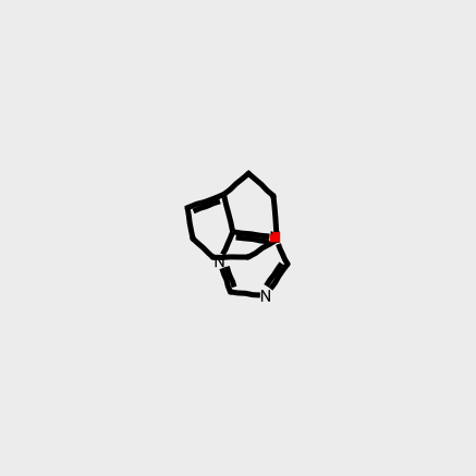 C1=C(\c2ncncn2)CCCCCC/1